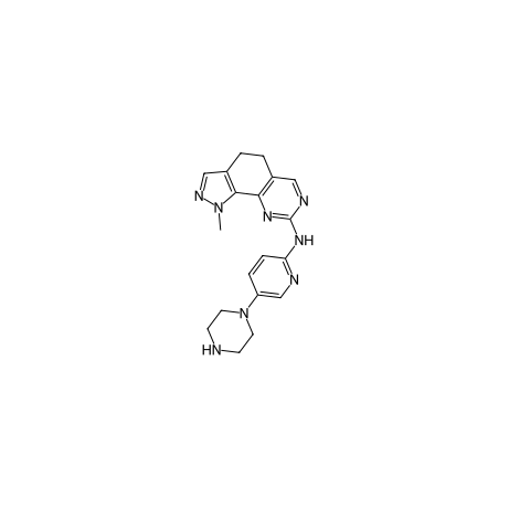 Cn1ncc2c1-c1nc(Nc3ccc(N4CCNCC4)cn3)ncc1CC2